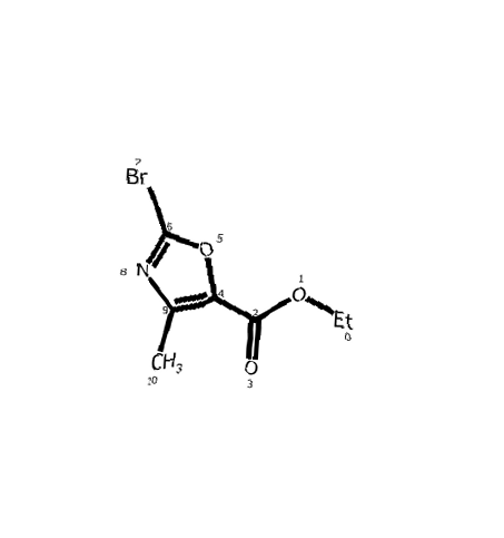 CCOC(=O)c1oc(Br)nc1C